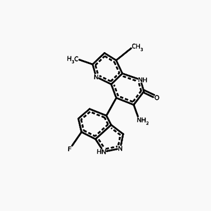 Cc1cc(C)c2[nH]c(=O)c(N)c(-c3ccc(F)c4[nH]ncc34)c2n1